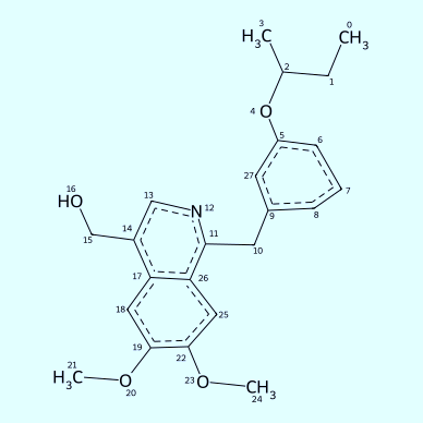 CCC(C)Oc1cccc(Cc2ncc(CO)c3cc(OC)c(OC)cc23)c1